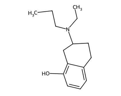 CCCN(CC)C1CCc2cccc(O)c2C1